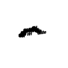 COC(=O)c1cc2cc(NC(=O)c3cc(NC(=O)NCCOc4cc5c(cc4OC)C(=O)N4c6ccccc6C[C@H]4C=N5)cn3C)ccc2s1